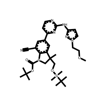 COCCn1ccc(Nc2nccc(-c3cc(C#N)c4c(c3)C(C)(CO[Si](C)(C)C(C)(C)C)CN4C(=O)OC(C)(C)C)n2)n1